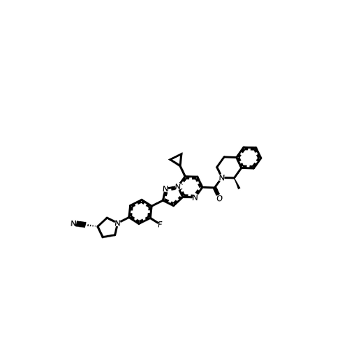 C[C@@H]1c2ccccc2CCN1C(=O)c1cc(C2CC2)n2nc(-c3ccc(N4CC[C@H](C#N)C4)cc3F)cc2n1